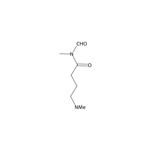 CNCCCC(=O)N(C)C=O